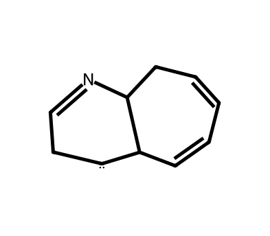 [C]1CC=NC2CC=CC=CC12